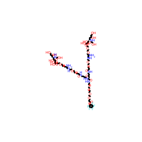 N/C(=C\NCCOCCOCCC(=O)NCCCC[C@H](NC(=O)CCCNC(=O)CCOCCOCCN/C=C(\N)COCCOCCO[C@](O)(C[C@H](O)[C@H](C[C@H](O)CCO)NC(=O)CO)C(=O)O)C(=O)NCCOCCOCCOCCOCCC(=O)Oc1c(F)c(F)c(F)c(F)c1F)COCCOCCO[C@](O)(CC[C@H](C[C@H](O)CCO)NC(=O)CO)C(=O)O